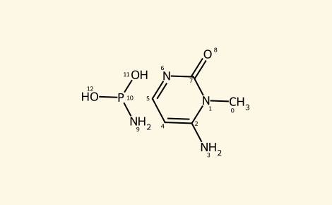 Cn1c(N)ccnc1=O.NP(O)O